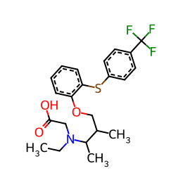 CCN(CC(=O)O)C(C)C(C)COc1ccccc1Sc1ccc(C(F)(F)F)cc1